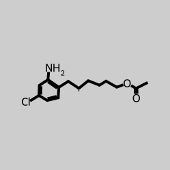 CC(=O)OCCCC[CH]Cc1ccc(Cl)cc1N